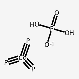 O=P(O)(O)O.[P]#[Co](#[P])#[P]